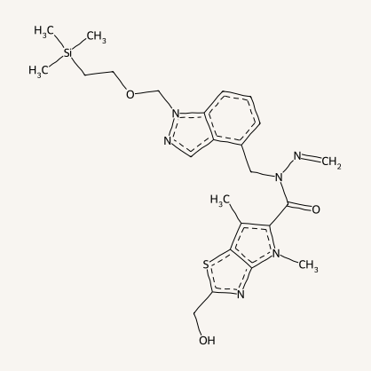 C=NN(Cc1cccc2c1cnn2COCC[Si](C)(C)C)C(=O)c1c(C)c2sc(CO)nc2n1C